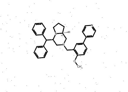 COc1ccc(-c2ccncc2)cc1CN1CC(C(c2ccccc2)c2ccccc2)N2CCC[C@H]2C1